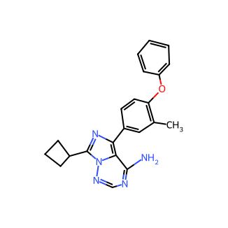 Cc1cc(-c2nc(C3CCC3)n3ncnc(N)c23)ccc1Oc1ccccc1